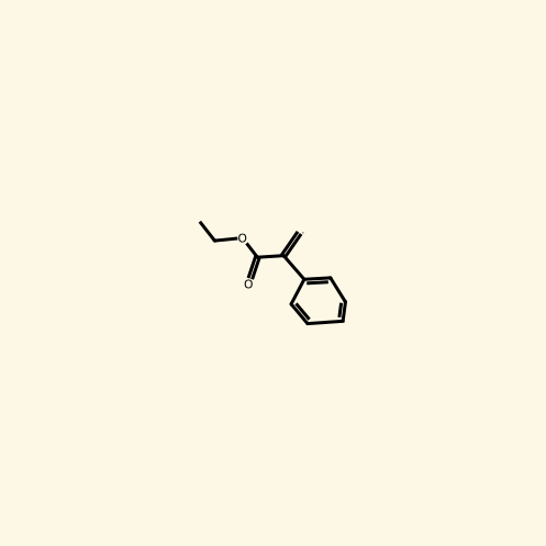 [CH]=C(C(=O)OCC)c1ccccc1